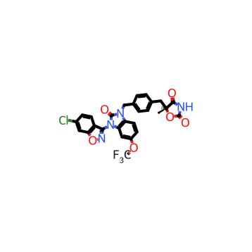 C[C@]1(Cc2ccc(Cn3c(=O)n(-c4noc5cc(Cl)ccc45)c4cc(OC(F)(F)F)ccc43)cc2)OC(=O)NC1=O